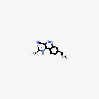 C=Cc1ccc2c(NC(C)C)c(C#N)nnc2c1